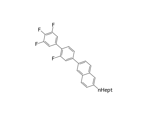 CCCCCCCc1ccc2cc(-c3ccc(-c4cc(F)c(F)c(F)c4)c(F)c3)ccc2c1